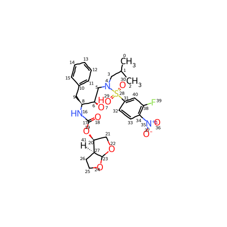 CC(C)CN(C[C@@H](O)[C@H](Cc1ccccc1)NC(=O)O[C@H]1COC2OCC[C@H]21)S(=O)(=O)c1ccc([N+](=O)[O-])c(F)c1